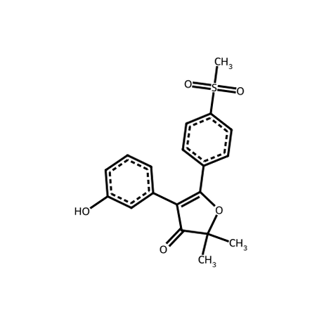 CC1(C)OC(c2ccc(S(C)(=O)=O)cc2)=C(c2cccc(O)c2)C1=O